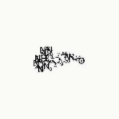 Cn1c(C2=CCC3(CC2)CCN(C=CC=O)CC3)c(-c2cncnc2)c2c(N)ncnc21